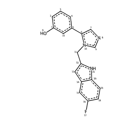 Oc1cccc(-c2cncn2Cc2cc3cc(F)ccc3[nH]2)c1